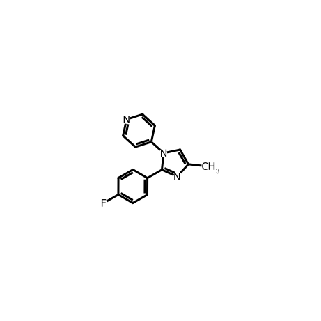 Cc1cn(-c2ccncc2)c(-c2ccc(F)cc2)n1